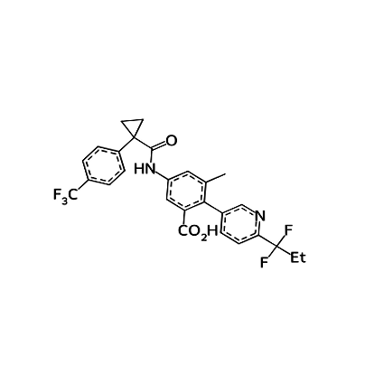 CCC(F)(F)c1ccc(-c2c(C)cc(NC(=O)C3(c4ccc(C(F)(F)F)cc4)CC3)cc2C(=O)O)cn1